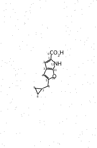 O=C(O)c1cc2cc(CC3CC3)oc2[nH]1